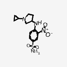 NS(=O)(=O)c1ccc(NC2CCN(C3CC3)C2)c([N+](=O)[O-])c1